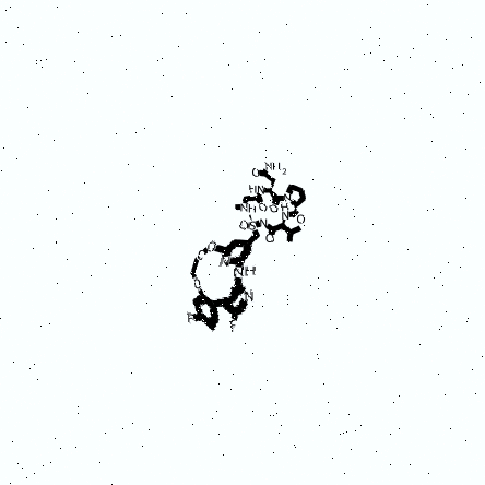 CNCC(=O)N[C@@H](CC(N)=O)C(=O)N1CCC[C@H]1C(=O)N[C@H](C(=O)N=[S@](C)(=O)Cc1cc2nc(c1)OCCCOc1cc(F)ccc1-c1cc(ncc1F)N2)C(C)C